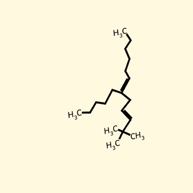 CCCCC/C=C(/C/C=C/C(C)(C)C)CCCCC